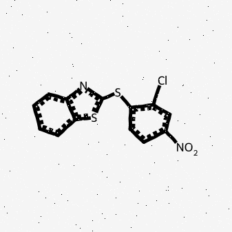 O=[N+]([O-])c1ccc(Sc2nc3ccccc3s2)c(Cl)c1